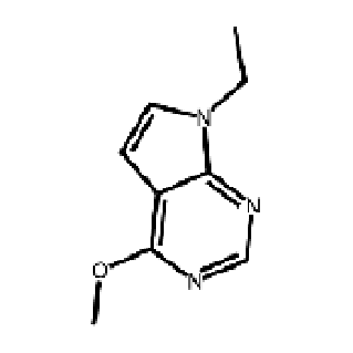 CCn1ccc2c(OC)ncnc21